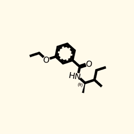 CCOc1cccc(C(=O)N[C@H](C)C(C)CC)c1